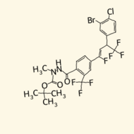 CN(NC(=O)c1ccc(/C(F)=C/C(c2ccc(Cl)c(Br)c2)C(F)(F)F)cc1C(F)(F)F)C(=O)OC(C)(C)C